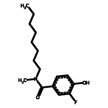 CCCCCCCCN(C)C(=O)c1ccc(O)c(F)c1